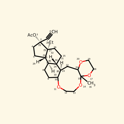 C#C[C@]1(OC(C)=O)CC[C@H]2[C@@H]3CCC4OCCOC5(C)OCCOC5C[C@@H]4[C@H]3CC[C@@]21CC